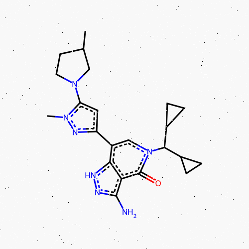 CC1CCN(c2cc(-c3cn(C(C4CC4)C4CC4)c(=O)c4c(N)n[nH]c34)nn2C)C1